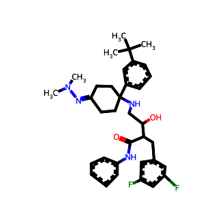 CN(C)N=C1CCC(NCC(O)C(Cc2cc(F)cc(F)c2)C(=O)Nc2ccccc2)(c2cccc(C(C)(C)C)c2)CC1